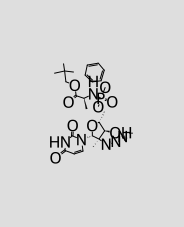 C[C@H](NP(=O)(OC[C@H]1O[C@@H](n2ccc(=O)[nH]c2=O)[C@](C)(N=[N+]=[N-])[C@@H]1O)Oc1ccccc1)C(=O)OCC(C)(C)C